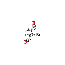 CCCCc1c(N=C=O)cccc1N=C=O